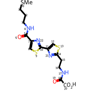 CSCCCNC(=O)c1csc(-c2csc(CCNC(=O)C(=O)O)n2)n1